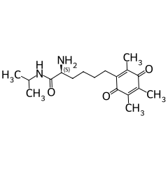 CC1=C(C)C(=O)C(CCCC[C@H](N)C(=O)NC(C)C)=C(C)C1=O